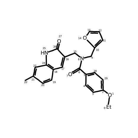 CCOc1ccc(C(=O)N(Cc2ccco2)Cc2cc3ccc(C)cc3[nH]c2=O)cc1